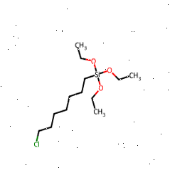 CCO[Si](CCCCCCCCl)(OCC)OCC